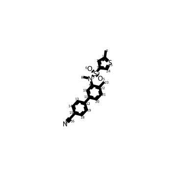 Cc1cc(S(=O)(=O)N(C)c2cc(-c3ccc(C#N)cc3)ccc2C)cs1